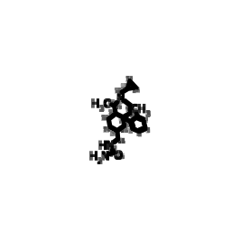 Cc1ccccc1C12CCN(CC3CC3)C(C)C1CCC(CNC(N)=O)C2